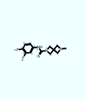 CN1CC2(C1)CN(C(=S)Nc1ccc(F)c(F)c1)C2